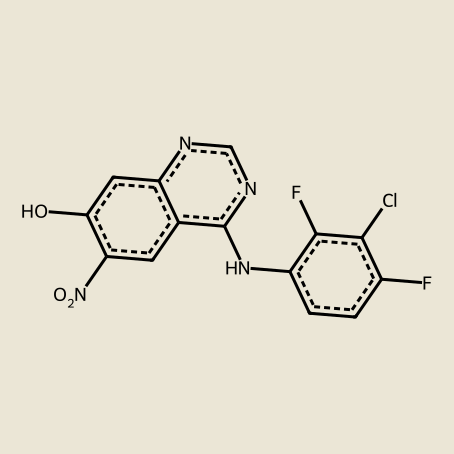 O=[N+]([O-])c1cc2c(Nc3ccc(F)c(Cl)c3F)ncnc2cc1O